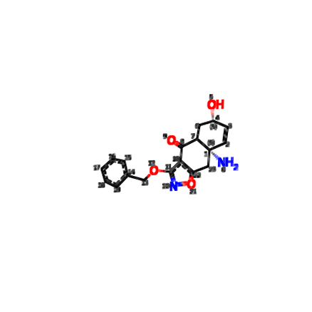 N[C@@]12C=C[C@@H](O)CC1C(=O)c1c(OCc3ccccc3)noc1C2